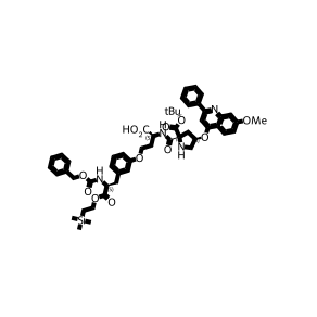 COc1ccc2c(O[C@H]3CN[C@@](C(=O)N[C@@H](CCOc4cccc(C[C@H](NC(=O)OCc5ccccc5)C(=O)OCC[Si](C)(C)C)c4)C(=O)O)(C(=O)OC(C)(C)C)C3)cc(-c3ccccc3)nc2c1